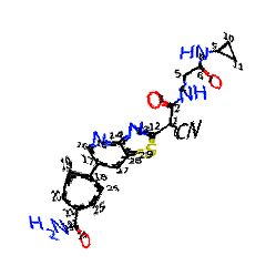 N#CC(C(=O)NCC(=O)NC1CC1)c1nc2ncc(-c3ccc(C(N)=O)cc3)cc2s1